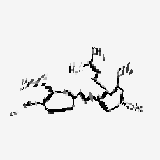 COc1cc(/C=C/c2cc(OC(C)=O)cc(C)c2CC=C(C)C)ccc1NC(C)=O